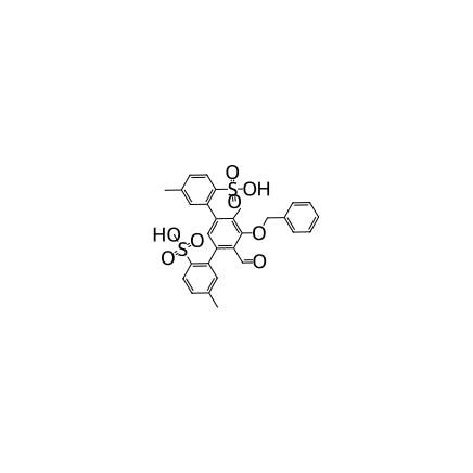 Cc1ccc(S(=O)(=O)O)c(-c2cc(-c3cc(C)ccc3S(=O)(=O)O)c(C=O)c(OCc3ccccc3)c2C)c1